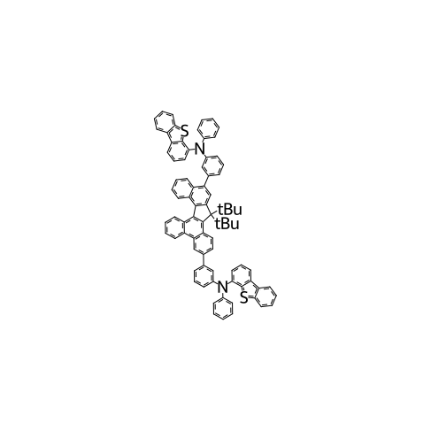 CC(C)(C)C1(C(C)(C)C)c2cc(-c3cccc(N(c4ccccc4)c4cccc5c4sc4ccccc45)c3)c3ccccc3c2-c2c1c1ccc(-c3cccc(N(c4ccccc4)c4cccc5c4sc4ccccc45)c3)cc1c1ccccc21